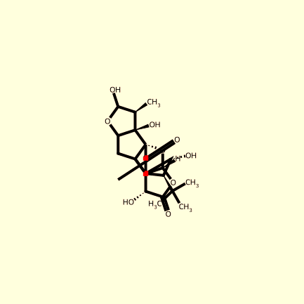 C[C@@H]1C(O)OC2CC34C5OC(=O)[C@]3(O[C@@H]3OC(=O)[C@H](O)C34[C@H](C(C)(C)C)[C@H]5O)[C@]21O